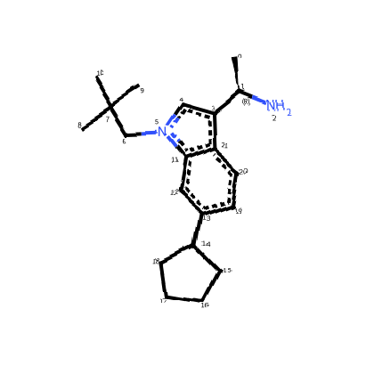 C[C@@H](N)c1cn(CC(C)(C)C)c2cc(C3CCCC3)ccc12